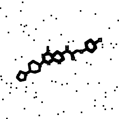 Cc1nc(N2CCC(N3CCCC3)CC2)nc2ncc(NC(=O)COc3ccc(Cl)cc3)cc12